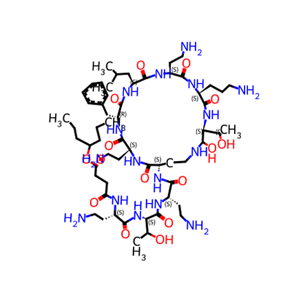 CCCC(CCC)OC(=O)CCC(=O)N[C@@H](CCN)C(=O)N[C@H](C(=O)N[C@@H](CCN)C(=O)N[C@H]1CCNC(O)[C@H]([C@H](C)O)NC(=O)[C@H](CCCN)NC(=O)[C@H](CCN)NC(=O)[C@H](CC(C)C)NC(=O)[C@@H](Cc2ccccc2)NC(=O)[C@H](CCN)NC1=O)C(C)O